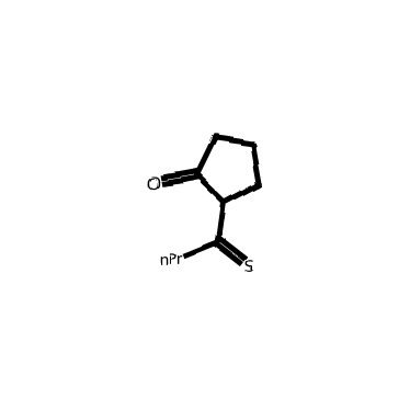 CCCC(=S)C1CCCC1=O